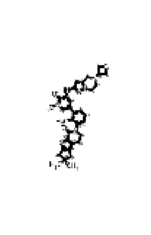 [CH2]c1c(-c2cc(Nc3cc4n(n3)CCN(C3COC3)C4)c(=O)n(C)c2)cccc1N1CCc2c(sc3c2CC(C)(C)C3)C1=O